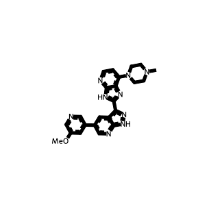 COc1cncc(-c2cnc3[nH]nc(-c4nc5c(N6CCN(C)CC6)ccnc5[nH]4)c3c2)c1